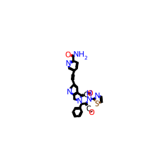 NC(=O)c1ccc(C#Cc2cnc3c(c2)C(=C=O)N(C(C(=C=O)Nc2nccs2)c2ccccc2)C3)cn1